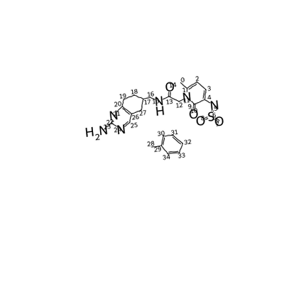 Cc1ccc(N=S(=O)=O)c(=O)n1CC(=O)NCC1CCc2nc(N)ncc2C1.Cc1ccccc1